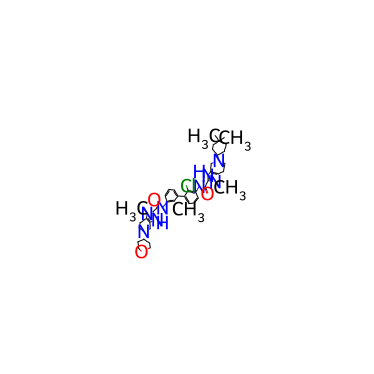 Cc1c(NC(=O)c2nc3c(n2C)CCN(C2CCOCC2)C3)cccc1-c1cccc(NC(=O)c2nc3c(n2C)CCN(C2CCC(C)(C)CC2)C3)c1Cl